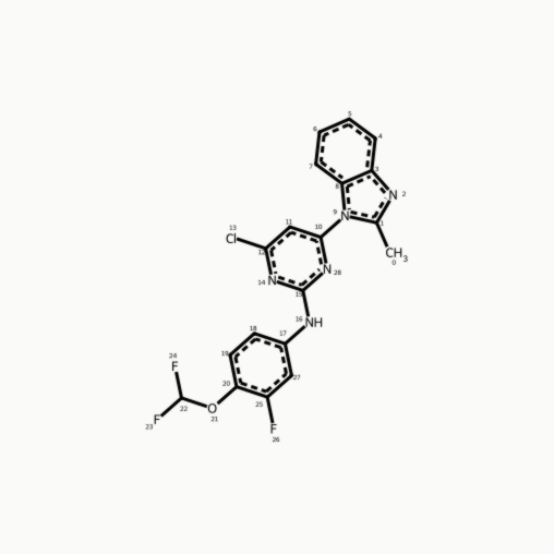 Cc1nc2ccccc2n1-c1cc(Cl)nc(Nc2ccc(OC(F)F)c(F)c2)n1